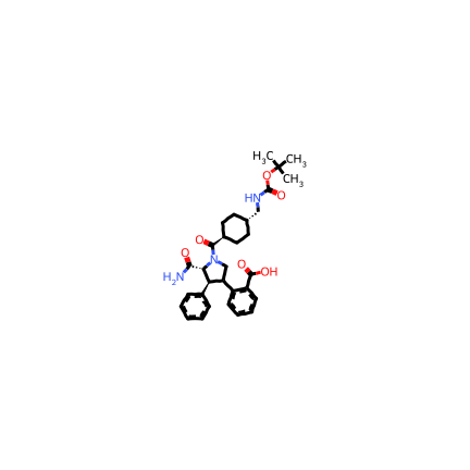 CC(C)(C)OC(=O)NC[C@H]1CC[C@H](C(=O)N2CC(c3ccccc3C(=O)O)[C@@H](c3ccccc3)[C@@H]2C(N)=O)CC1